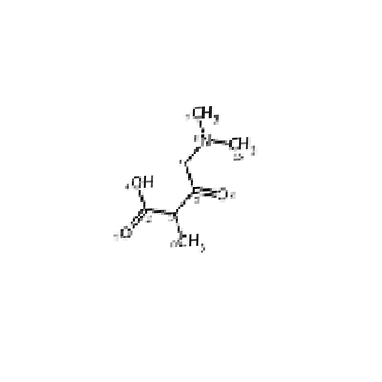 CC(C(=O)O)C(=O)CN(C)C